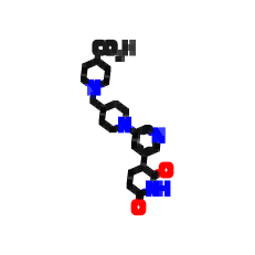 O=C1CCC(c2cncc(N3CCC(CN4CCC(C(=O)O)CC4)CC3)c2)C(=O)N1